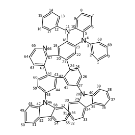 c1ccc(-n2c3ccccc3n(-c3ccccc3)c3cc4c(cc32)c2ccc(-n3c5ccccc5c5ccccc53)cc2c2cc(-n3c5ccccc5c5ccccc53)ccc2c2cccnc24)cc1